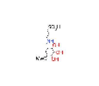 CO[C@H]1C[C@H](CNCCCS(=O)(=O)O)[C@@H](O)[C@H](O)[C@H]1O